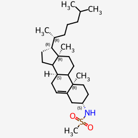 CC(C)CCC[C@@H](C)[C@H]1CCC2[C@@H]3CC=C4C[C@@H](NS(C)(=O)=O)CC[C@]4(C)C3CC[C@@]21C